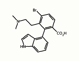 CN(C)CCc1c(Br)ccc(C(=O)O)c1-c1cccc2[nH]ccc12